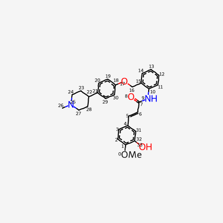 COc1ccc(C=CC(=O)Nc2ccccc2COc2ccc(C3CCN(C)CC3)cc2)cc1O